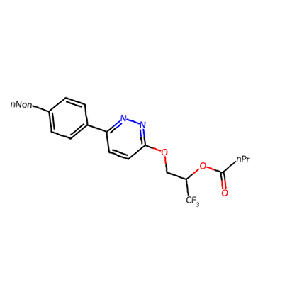 CCCCCCCCCc1ccc(-c2ccc(OCC(OC(=O)CCC)C(F)(F)F)nn2)cc1